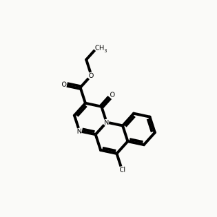 CCOC(=O)c1cnc2cc(Cl)c3ccccc3n2c1=O